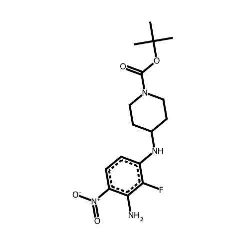 CC(C)(C)OC(=O)N1CCC(Nc2ccc([N+](=O)[O-])c(N)c2F)CC1